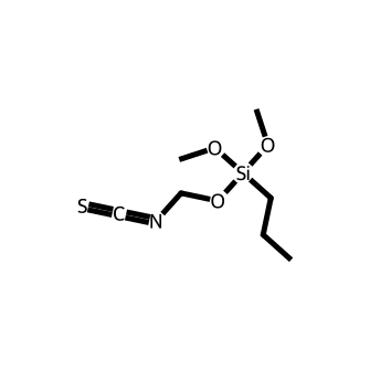 CCC[Si](OC)(OC)OCN=C=S